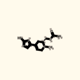 CN1CC=C(c2csc(S)n2)C[C@@H]1COC(N)=O